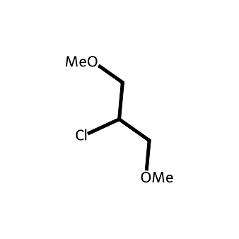 COCC(Cl)COC